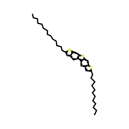 CCCCCCCCCCCCCCc1cc2cc3c(cc2s1)sc1cc2sc(CCCCCCCCCCCC)cc2cc13